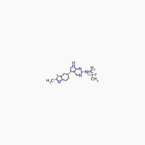 Cc1nc2ccc(-c3c[nH]c4nc(NCC(C)(C)F)ncc34)cc2s1